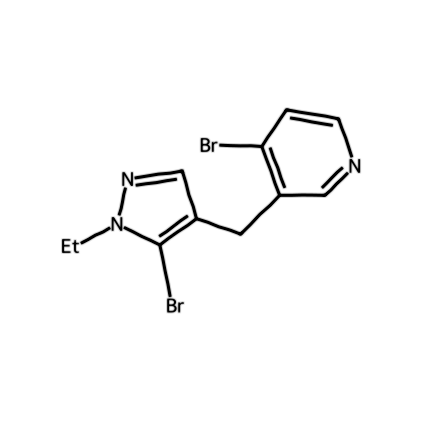 CCn1ncc(Cc2cnccc2Br)c1Br